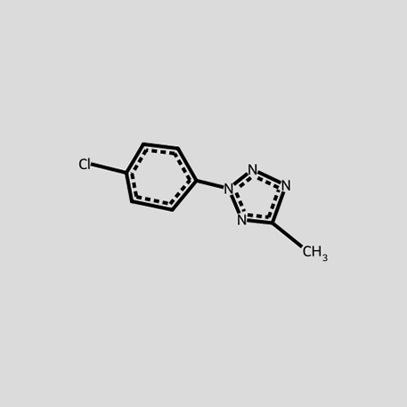 Cc1nnn(-c2ccc(Cl)cc2)n1